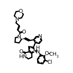 COc1c(Cl)cccc1Nn1c(-c2ccncc2C#C[C@H]2CCCN2C(=O)/C=C/CN2CCOCC2)cc2c1CCNC2=O